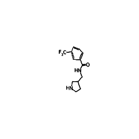 O=C(NCC1CCNC1)c1cccc(C(F)(F)F)c1